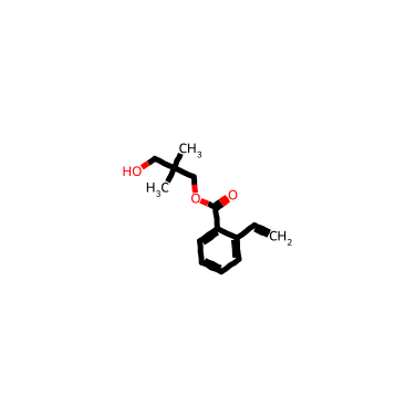 C=Cc1ccccc1C(=O)OCC(C)(C)CO